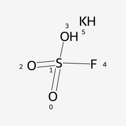 O=S(=O)(O)F.[KH]